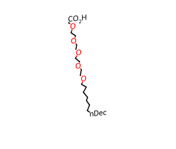 CCCCCCCCCCCCCCCCCOCCOCCOCCOCCOCC(=O)O